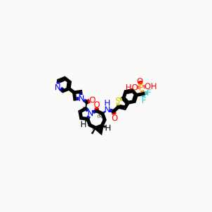 C[C@@]12C[C@H]3CC[C@@H](C(=O)N4CC(c5cccnc5)C4)N3C(=O)[C@@H](NC(=O)c3cc4cc(C(F)(F)P(=O)(O)O)ccc4s3)C[C@@H]1C2